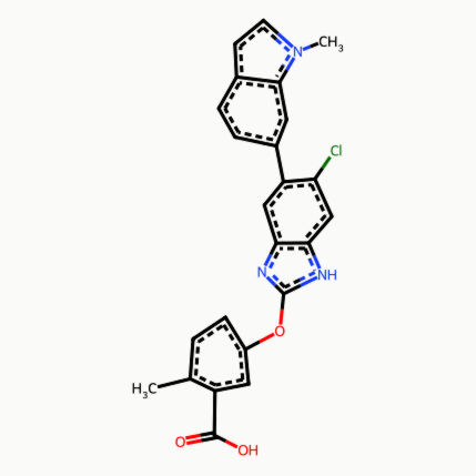 Cc1ccc(Oc2nc3cc(-c4ccc5ccn(C)c5c4)c(Cl)cc3[nH]2)cc1C(=O)O